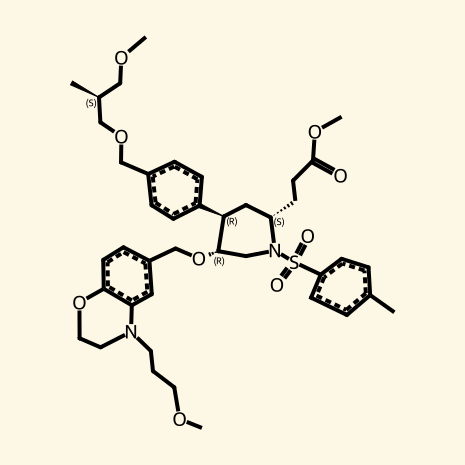 COCCCN1CCOc2ccc(CO[C@H]3CN(S(=O)(=O)c4ccc(C)cc4)[C@@H](CCC(=O)OC)C[C@@H]3c3ccc(COC[C@@H](C)COC)cc3)cc21